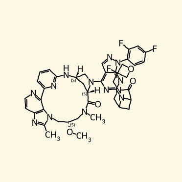 CO[C@H]1CN(C)C(=O)[C@@H]2C[C@@H](CN2c2nc(N3C4CC3C(=O)N(CC3(F)COC3)C4)nc3c2cnn3-c2ccc(F)cc2F)Nc2cccc(n2)-c2nccc3nc(C)n(c23)C1